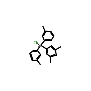 Cc1cccc([Si](Cl)(c2cccc(C)c2)c2cc(C)cc(C)c2)c1